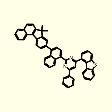 CC1(C)c2cc(-c3ccc(-c4nc(-c5ccccc5)cc(-c5cccc6sc7ccccc7c56)n4)c4ccccc34)ccc2-c2c1ccc1ccccc21